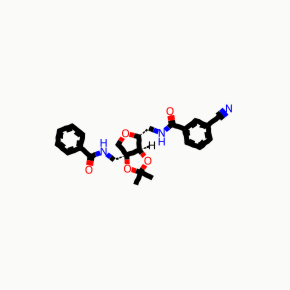 CC1(C)O[C@@H]2[C@@H](CNC(=O)c3cccc(C#N)c3)OC[C@]2(CNC(=O)c2ccccc2)O1